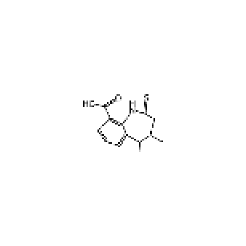 CC1CC(=S)Nc2c(C(=O)O)cccc2C1C